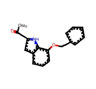 COC(=O)c1cc2cccc(OCc3ccccc3)c2[nH]1